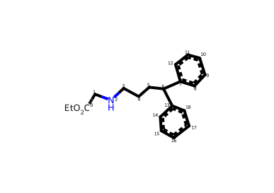 CCOC(=O)CNCCCC(c1ccccc1)c1ccccc1